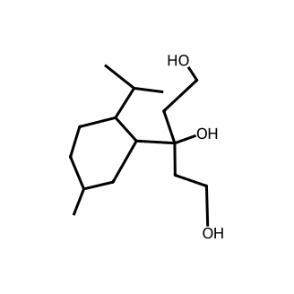 CC1CCC(C(C)C)C(C(O)(CCO)CCO)C1